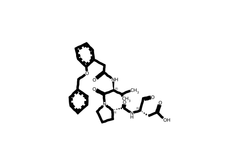 CC(C)[C@H](NC(=O)Cc1ccccc1OCc1ccccc1)C(=O)N1CCC[C@H]1C(=O)N[C@H](C=O)CC(=O)O